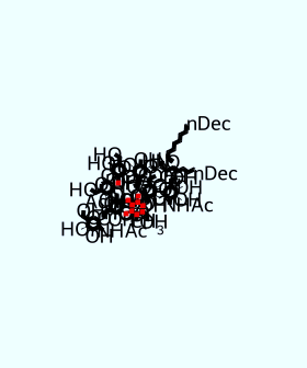 CCCCCCCCCCCCC/C=C/[C@@H](O)[C@H](CO[C@@H]1OC(CO)[C@@H](O[C@@H]2OC(CO)[C@H](O)[C@H](O[C@@H]3OC(CO)[C@@H](O)[C@H](O[C@@H]4OC(CO[C@@H]5OC(CO)[C@@H](O)[C@H](O)C5NC(C)=O)[C@H](O)[C@H](O[C@@H]5OC(CO)[C@@H](O)[C@H](O[C@@H]6OC(CO)[C@H](O)[C@H](O[C@H]7OC(CO)[C@H](O)[C@H](O)C7NC(C)=O)C6O[C@H]6OC(C)[C@@H](O)C(O)[C@@H]6O)C5NC(C)=O)C4O)C3NC(C)=O)C2O)[C@H](O)C1O)NC(=O)CCCCCCCCCCCCCCCCC